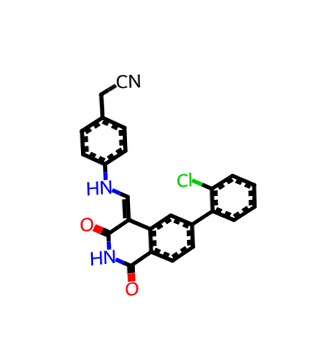 N#CCc1ccc(NC=C2C(=O)NC(=O)c3ccc(-c4ccccc4Cl)cc32)cc1